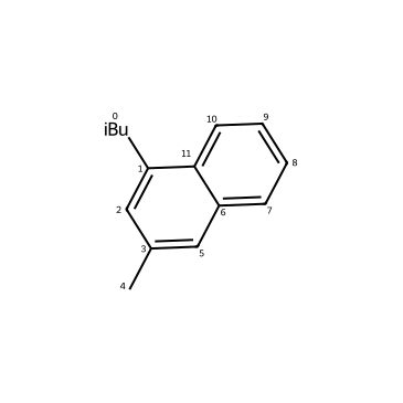 CCC(C)c1cc(C)cc2ccccc12